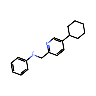 c1ccc(NCc2ccc(C3CCCCC3)cn2)cc1